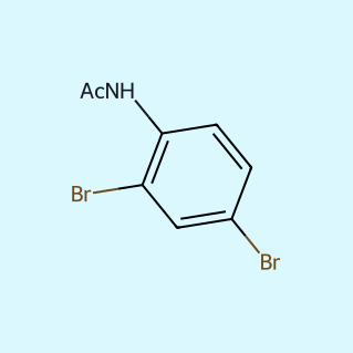 CC(=O)Nc1ccc(Br)cc1Br